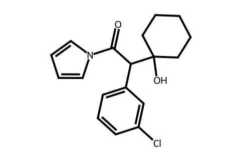 O=C(C(c1cccc(Cl)c1)C1(O)CCCCC1)n1cccc1